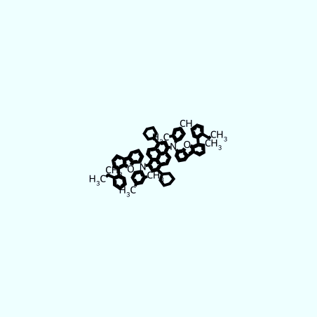 Cc1ccc(N(c2cc(C3CCCCC3)c3ccc4c(N(c5ccc(C)cc5C)c5cccc6c5oc5c(-c7ccccc7C(C)C)cccc56)cc(C5CCCCC5)c5ccc2c3c54)c2cccc3c2oc2c(-c4ccccc4C(C)C)cccc23)c(C)c1